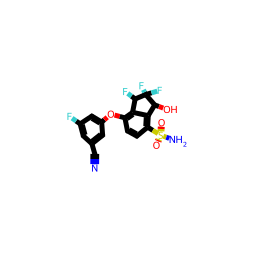 N#Cc1cc(F)cc(Oc2ccc(S(N)(=O)=O)c3c2C(F)C(F)(F)C3O)c1